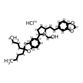 CCCCC1(CCCC)Oc2ccc(C3CCC(CCc4ccc5c(c4)OCO5)N3CO)cc2S1.Cl